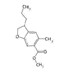 CCCC1COc2cc(C(=O)OC)c(C)cc21